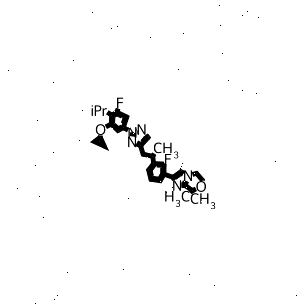 CC(C)c1c(F)cc(-n2ncc(CC(C)c3cccc(-c4cn5c(n4)C(C)(C)OCC5)c3F)n2)cc1OC1CC1